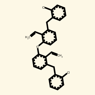 C=Cc1c(Cc2ccccc2Cl)cccc1Oc1cccc(Cc2ccccc2Cl)c1C=C